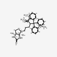 COC(=O)C(CCC[C@@H]1SC[C@@H]2NC(=O)N[C@@H]21)C(c1ccccc1)(c1ccccc1OC)c1ccccc1OC